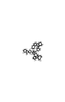 c1cc(-c2nc(-c3ccc4c(c3)sc3ccccc34)nc(-c3cccc4c3sc3ccccc34)n2)cc(-n2c3ccccc3c3ccc4ccccc4c32)c1